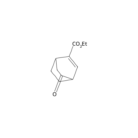 CCOC(=O)C1=CC2CCC1CC2=O